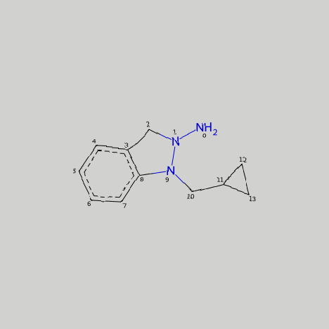 NN1Cc2ccccc2N1CC1CC1